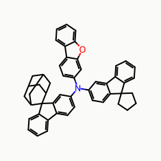 c1ccc2c(c1)-c1cc(N(c3ccc4c(c3)C3(c5ccccc5-4)C4CC5CC(C4)CC3C5)c3ccc4c(c3)oc3ccccc34)ccc1C21CCCC1